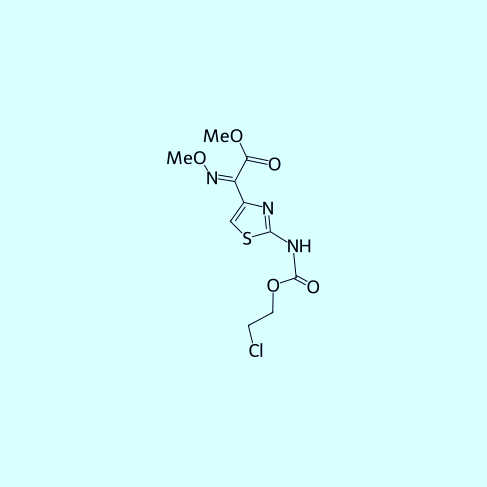 CON=C(C(=O)OC)c1csc(NC(=O)OCCCl)n1